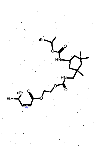 CCCCC(C)OC(=O)NC1CC(C)(C)CC(C)(CNC(=O)OCCOC(=O)/C=C\C(CC)CCC)C1